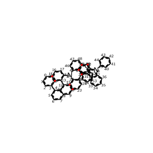 c1ccc(-c2cccc3cccc(-c4ccccc4N(c4ccccc4-c4cccc5c4c4ccccc4n5-c4ccccc4)c4cccc5oc6ccccc6c45)c23)cc1